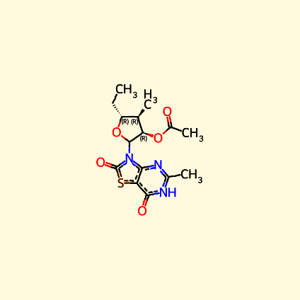 CC[C@H]1OC(n2c(=O)sc3c(=O)[nH]c(C)nc32)[C@H](OC(C)=O)[C@@H]1C